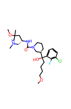 CNC[C@H](CC(C)(C)OC)NC(=O)N1CCC[C@@H]([C@@](O)(CCCCOC)c2cccc(Cl)c2F)C1